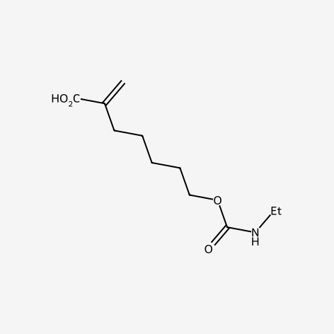 C=C(CCCCCOC(=O)NCC)C(=O)O